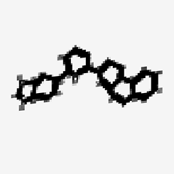 c1cc(-c2ccc3c(ccc4ccccc43)c2)nc(-c2ccc3ncoc3c2)c1